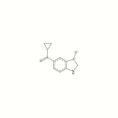 O=C(c1ccc2c(c1)[S+]([O-])CN2)C1CC1